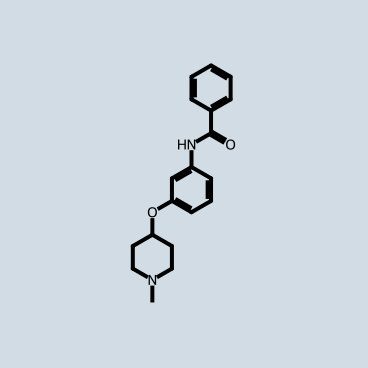 CN1CCC(Oc2cccc(NC(=O)c3ccccc3)c2)CC1